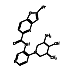 CC(C)c1cc2nc(C(=O)Nc3cnccc3N3CC(C)C(O)C(N)C3)ccc2o1